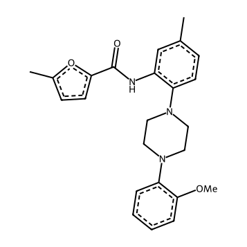 COc1ccccc1N1CCN(c2ccc(C)cc2NC(=O)c2ccc(C)o2)CC1